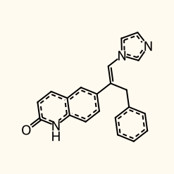 O=c1ccc2cc(C(=Cn3ccnc3)Cc3ccccc3)ccc2[nH]1